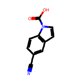 N#Cc1ccc2c(ccn2C(=O)O)c1